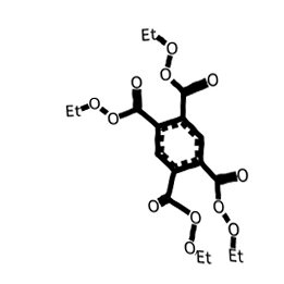 CCOOC(=O)c1cc(C(=O)OOCC)c(C(=O)OOCC)cc1C(=O)OOCC